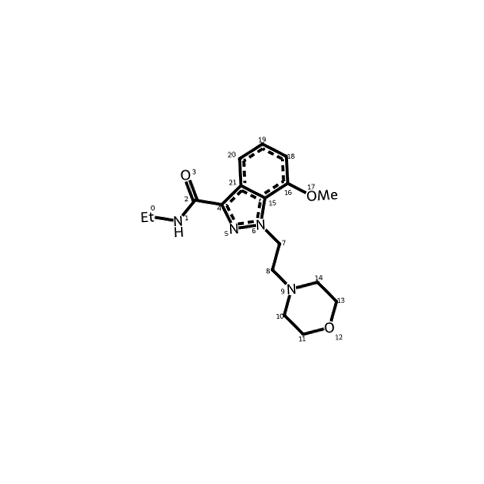 CCNC(=O)c1nn(CCN2CCOCC2)c2c(OC)cccc12